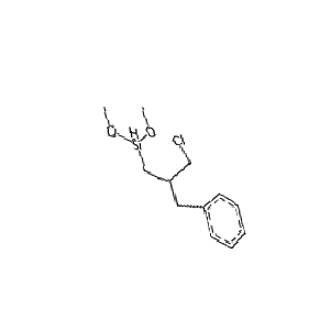 CO[SiH](CC(CCl)Cc1ccccc1)OC